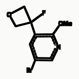 COc1ncc(Br)cc1C1(F)COC1